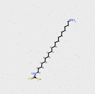 NCCCCCCCCCCCCCCCCCCCCNC(=S)S